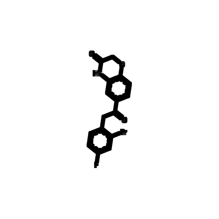 O=C1COc2ccc(C(=O)Cc3ccc(F)cc3Br)cc2N1